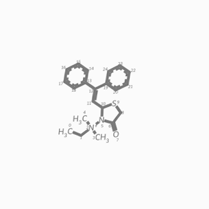 CC[N+](C)(C)N1C(=O)CSC1C=C(c1ccccc1)c1ccccc1